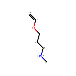 C=COCCCNC